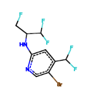 FCC(Nc1cc(C(F)F)c(Br)cn1)C(F)F